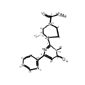 COC(=O)N1CCN(c2nc(-c3ccncn3)cc(=O)n2C)[C@H](C)C1